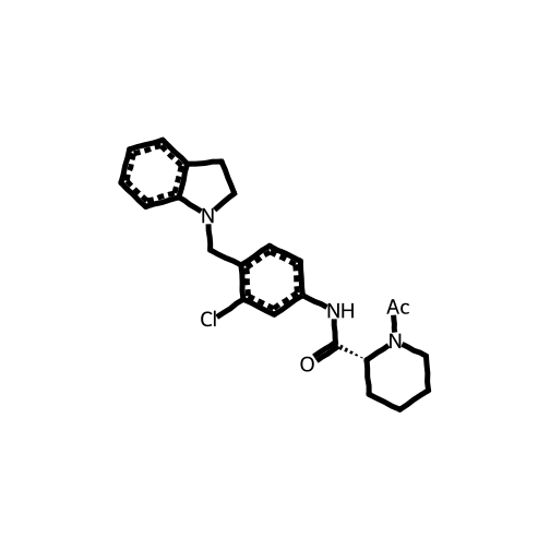 CC(=O)N1CCCC[C@@H]1C(=O)Nc1ccc(CN2CCc3ccccc32)c(Cl)c1